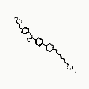 CCCCCCCCC1CC=C(c2ccc(C(=O)Oc3ccc(CCCC)cc3)cc2)CC1